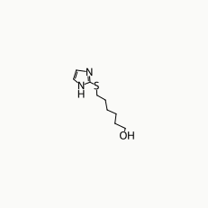 OCCCCCCSc1ncc[nH]1